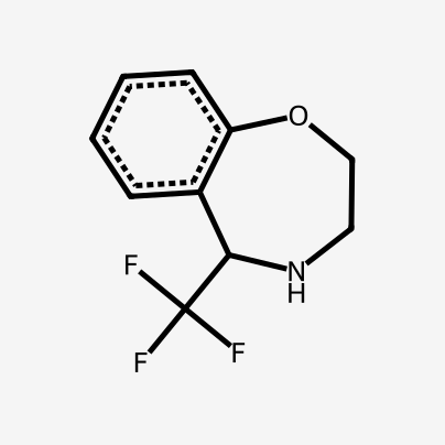 FC(F)(F)C1NCCOc2ccccc21